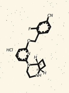 Cl.N#Cc1ccc(COc2cccc(N3CCN[C@H]4CC[C@H]43)n2)c(F)c1